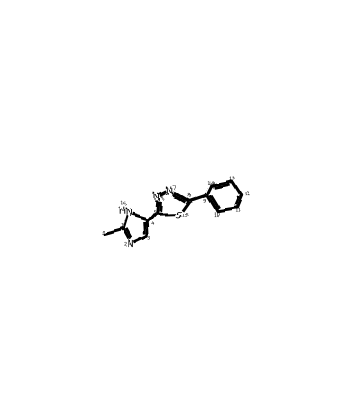 Cc1ncc(-c2nnc(-c3ccccc3)s2)[nH]1